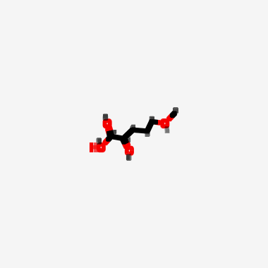 COCCCC(=O)C(=O)O